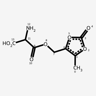 Cc1oc(=O)oc1COC(=O)C(N)C(=O)O